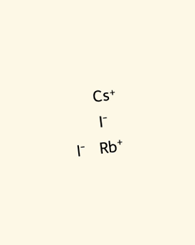 [Cs+].[I-].[I-].[Rb+]